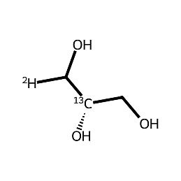 [2H]C(O)[13C@@H](O)CO